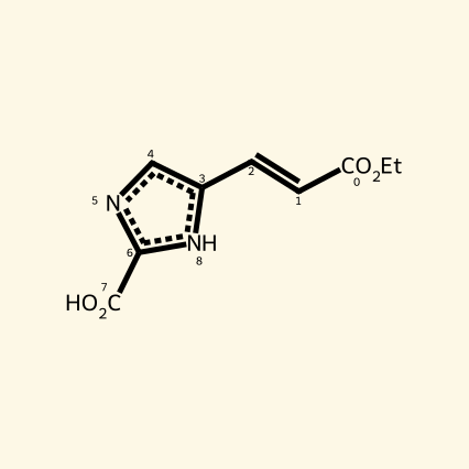 CCOC(=O)C=Cc1cnc(C(=O)O)[nH]1